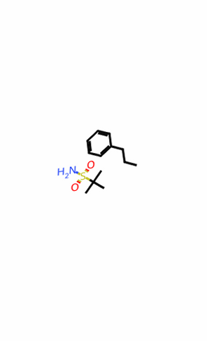 CC(C)(C)S(N)(=O)=O.CCCc1ccccc1